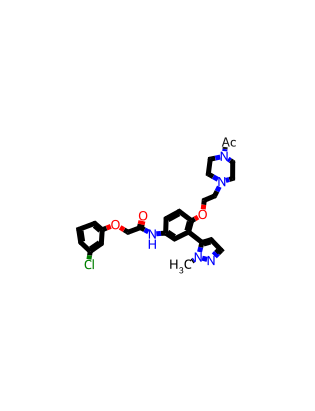 CC(=O)N1CCN(CCOc2ccc(NC(=O)COc3cccc(Cl)c3)cc2-c2ccnn2C)CC1